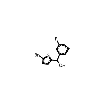 OC(c1cccc(F)c1)c1ccc(Br)s1